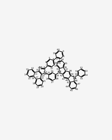 c1ccc(-c2ccc(-c3nc4c5ccccc5c5ccccc5c4n3-c3cccc(-n4c5ccccc5c5cc6c(cc54)c4ccccc4n6-c4ccccc4)c3)cc2)cc1